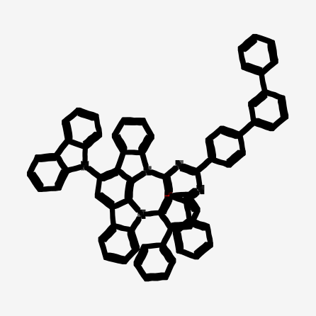 c1ccc(-c2cccc(-c3ccc(-c4nc(-c5ccccc5)nc(-n5c6ccccc6c6c(-n7c8ccccc8c8ccccc87)cc7c8ccccc8n(-c8ccccc8-c8ccccc8)c7c65)n4)cc3)c2)cc1